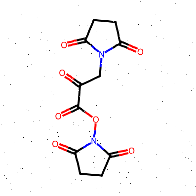 O=C(CN1C(=O)CCC1=O)C(=O)ON1C(=O)CCC1=O